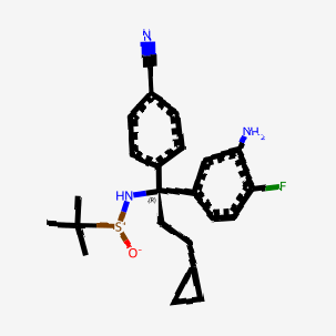 CC(C)(C)[S+]([O-])N[C@](CCC1CC1)(c1ccc(C#N)cc1)c1ccc(F)c(N)c1